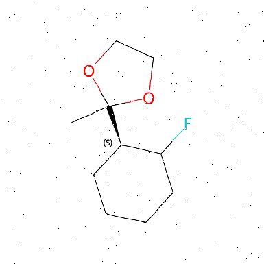 CC1([C@@H]2CCCCC2F)OCCO1